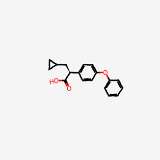 O=C(O)[C@@H](CC1CC1)c1ccc(Oc2ccccc2)cc1